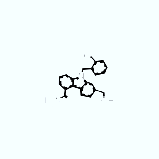 NC(=O)c1cccc2c1c1[c]cc(CO)cc1n2Cc1ccccc1Cl